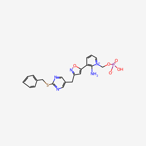 Nc1c(-c2cc(Cc3cnc(SCc4ccccc4)nc3)no2)ccc[n+]1COP(=O)([O-])O